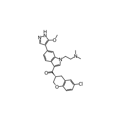 COc1[nH]ncc1-c1ccc2c(C(=O)[C@@H]3COc4ccc(Cl)cc4C3)cn(CCN(C)C)c2c1